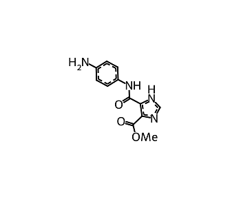 COC(=O)c1nc[nH]c1C(=O)Nc1ccc(N)cc1